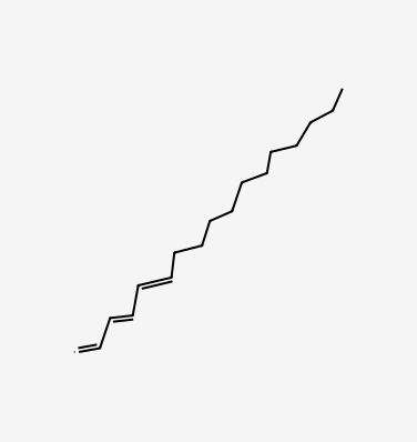 [CH]=C/C=C/C=C/CCCCCCCCCCC